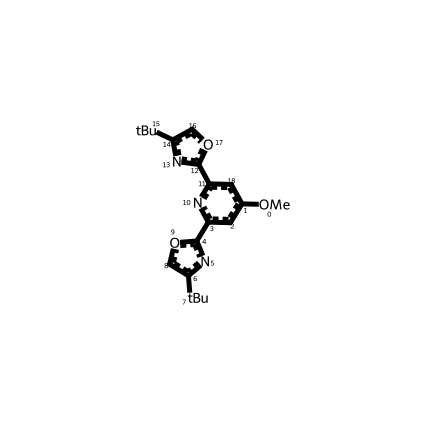 COc1cc(-c2nc(C(C)(C)C)co2)nc(-c2nc(C(C)(C)C)co2)c1